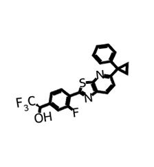 O[C@H](c1ccc(-c2nc3ccc(C4(c5ccccc5)CC4)nc3s2)c(F)c1)C(F)(F)F